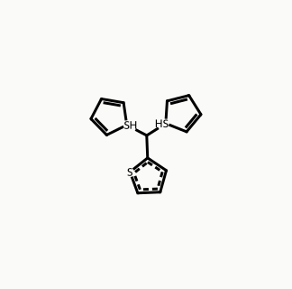 C1=C[SH](C(c2cccs2)[SH]2C=CC=C2)C=C1